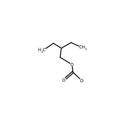 CCC(CC)COC([O])=O